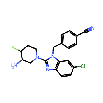 N#Cc1ccc(Cn2c(N3CC[C@H](F)[C@H](N)C3)nc3ccc(Cl)cc32)cc1